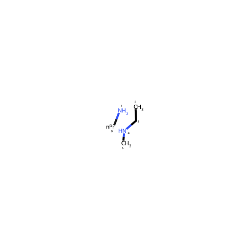 CCCN.CCNC